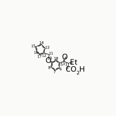 CCC(C(=O)O)C(=O)c1cccc(OCc2ccccc2)c1